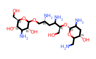 NCC1O[C@H](O[C@@H](CO)C(N)C[C@@H](N)COC2O[C@H](CO)[C@@H](O)C(N)[C@H]2O)C(N)C[C@@H]1O